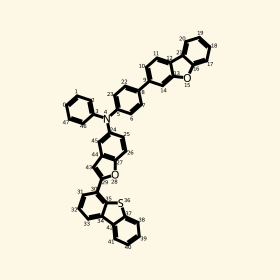 c1ccc(N(c2ccc(-c3ccc4c(c3)oc3ccccc34)cc2)c2ccc3oc(-c4cccc5c4sc4ccccc45)cc3c2)cc1